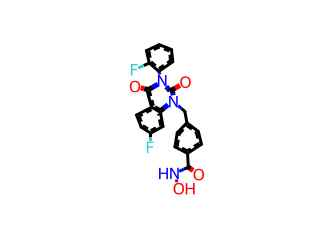 O=C(NO)c1ccc(Cn2c(=O)n(-c3ccccc3F)c(=O)c3ccc(F)cc32)cc1